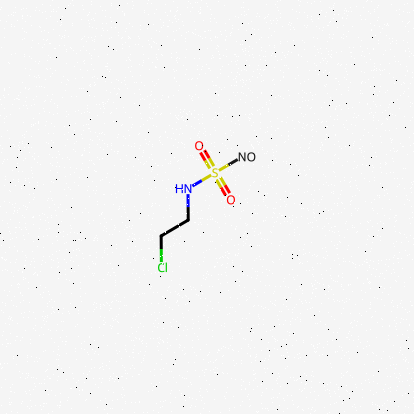 O=NS(=O)(=O)NCCCl